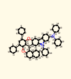 c1ccc(-c2cc(-c3ccccc3)c3c4c2Oc2cc5c6ccc(N(c7ccccc7)c7ccccc7)cc6n(-c6ccccc6)c5cc2B4c2c(ccc4ccccc24)O3)cc1